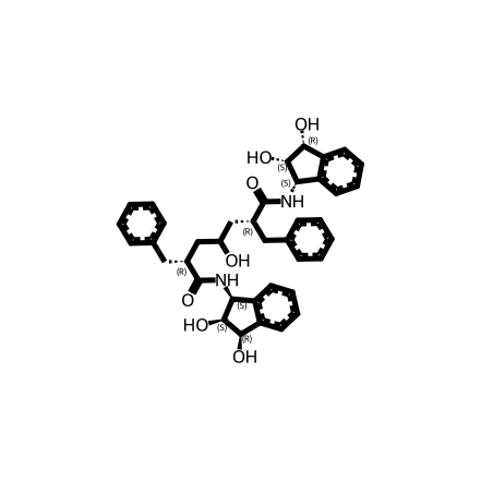 O=C(N[C@H]1c2ccccc2[C@@H](O)[C@H]1O)[C@H](Cc1ccccc1)CC(O)C[C@@H](Cc1ccccc1)C(=O)N[C@H]1c2ccccc2[C@@H](O)[C@H]1O